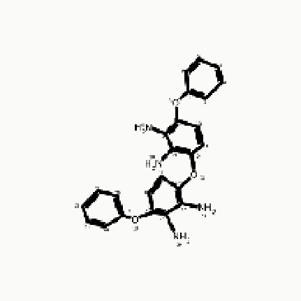 Nc1c(Oc2ccccc2)ccc(Oc2ccc(Oc3ccccc3)c(N)c2N)c1N